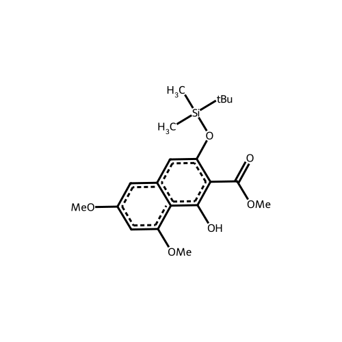 COC(=O)c1c(O[Si](C)(C)C(C)(C)C)cc2cc(OC)cc(OC)c2c1O